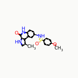 COc1ccc([S+]([O-])Nc2ccc3[nH]c(=O)c4[nH]cc(C)c4c3c2)cc1